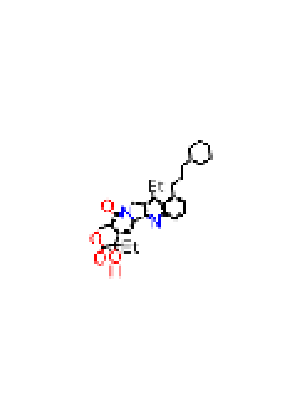 CCc1c2c(nc3cccc(CCCC4CCCCC4)c13)-c1cc3c(c(=O)n1C2)COC(=O)[C@]3(O)CC